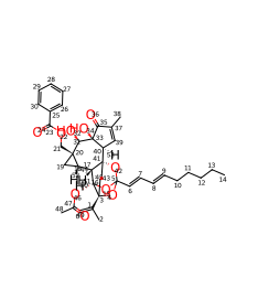 C=C(C)[C@@]12OC3(/C=C/C=C/CCCCC)O[C@@H]1[C@@H]1[C@@H]4C[C@]4(COC(=O)c4ccccc4)[C@@H](O)[C@]4(O)C(=O)C(C)=C[C@H]4[C@@]1(O3)[C@H](C)[C@H]2OC(C)=O